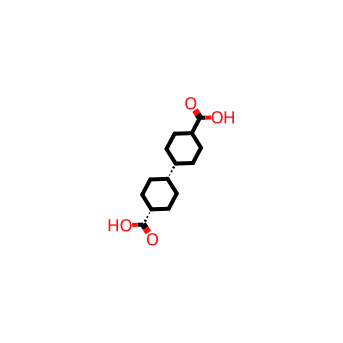 O=C(O)C1CCC([C@H]2CC[C@@H](C(=O)O)CC2)CC1